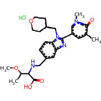 COC(C)C(NCc1ccc2c(c1)nc(-c1cc(C)c(=O)n(C)c1)n2CC1CCOCC1)C(=O)O.Cl